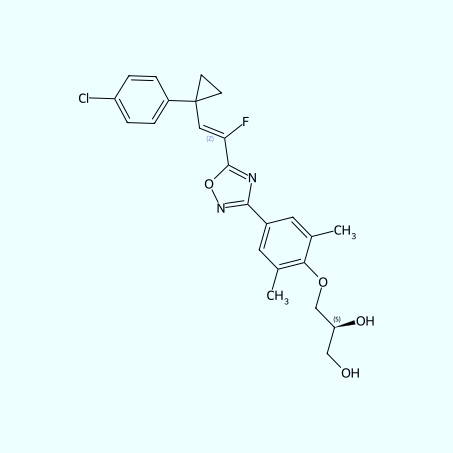 Cc1cc(-c2noc(/C(F)=C/C3(c4ccc(Cl)cc4)CC3)n2)cc(C)c1OC[C@@H](O)CO